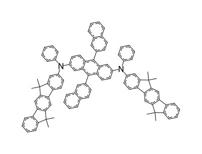 CC1(C)c2ccccc2-c2cc3c(cc21)-c1ccc(N(c2ccccc2)c2ccc4c(-c5ccc6ccccc6c5)c5cc(N(c6ccccc6)c6ccc7c(c6)C(C)(C)c6cc8c(cc6-7)C(C)(C)c6ccccc6-8)ccc5c(-c5ccc6ccccc6c5)c4c2)cc1C3(C)C